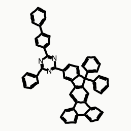 c1ccc(-c2ccc(-c3nc(-c4ccccc4)nc(-c4ccc5c(c4)-c4cc6c7ccccc7c7ccccc7c6cc4C5(c4ccccc4)c4ccccc4)n3)cc2)cc1